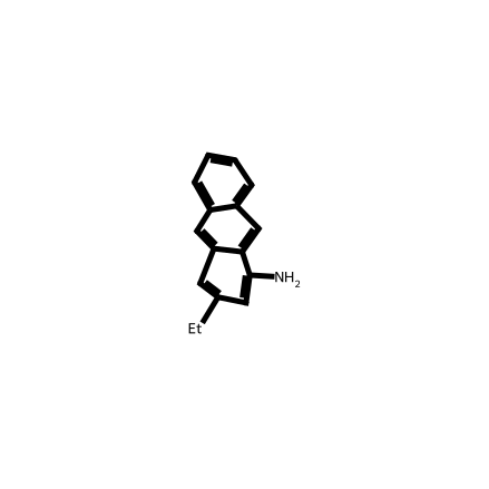 CCc1cc(N)c2cc3ccccc3cc2c1